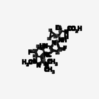 CC[C@H](NC(=O)O)[C@H](Nc1nc(Nc2cc(F)c3c(c2)c(N(C)C)nn3C)c(C#N)cc1F)C1CC1